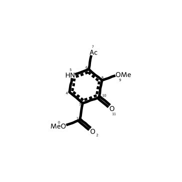 COC(=O)c1c[nH]c(C(C)=O)c(OC)c1=O